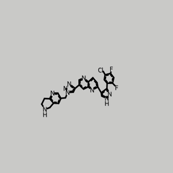 Fc1cc(F)c(-c2n[nH]cc2-c2ccc3ncc(-c4cn(Cc5cnc6c(c5)CNCC6)nn4)cc3n2)cc1Cl